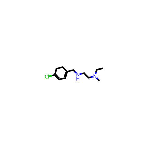 CCN(C)CCNCC1=CC=C(Cl)CC1